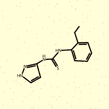 CCc1ccccc1NC(=S)Nc1cc[nH]n1